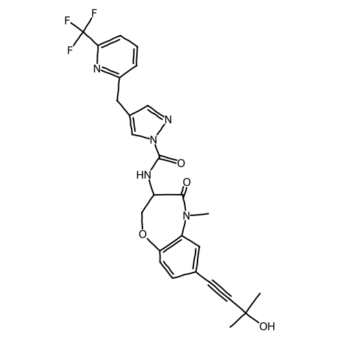 CN1C(=O)C(NC(=O)n2cc(Cc3cccc(C(F)(F)F)n3)cn2)COc2ccc(C#CC(C)(C)O)cc21